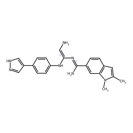 Cc1cc2ccc(/C(N)=N/C(=C\N)Nc3ccc(-c4cn[nH]c4)cc3)cc2n1C